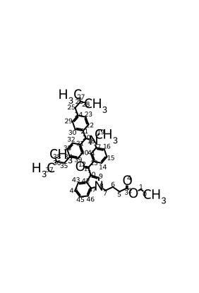 CCOC(=O)CCCn1cc(C(=O)c2cccc(N(C)C(c3ccc(CC(C)C)cc3)c3ccc(CC(C)C)cc3)c2)c2ccccc21